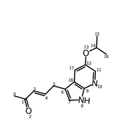 CC(=O)C=CCc1c[nH]c2ncc(OC(C)C)cc12